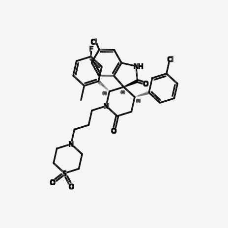 Cc1ccc(F)cc1[C@H]1N(CCCN2CCS(=O)(=O)CC2)C(=O)C[C@@H](c2cccc(Cl)c2)[C@]12C(=O)Nc1cc(Cl)ccc12